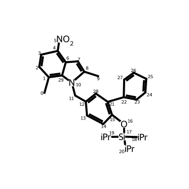 Cc1ccc([N+](=O)[O-])c2cc(C)n(Cc3ccc(O[Si](C(C)C)(C(C)C)C(C)C)c(-c4ccccc4)c3)c12